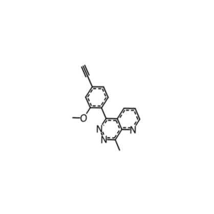 C#Cc1ccc(-c2nnc(C)c3ncccc23)c(OC)c1